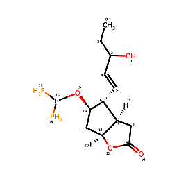 CCC(O)/C=C/[C@@H]1[C@H]2CC(=O)O[C@H]2C[C@H]1OB(P)P